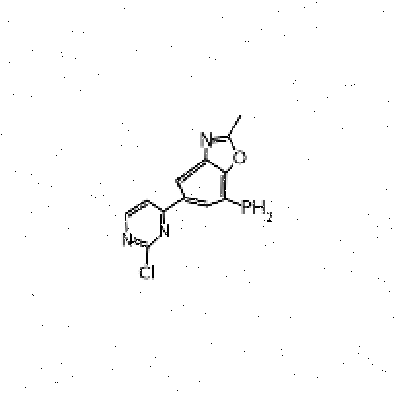 Cc1nc2cc(-c3ccnc(Cl)n3)cc(P)c2o1